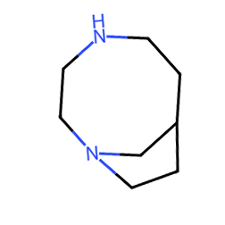 C1CC2CCN(CCN1)C2